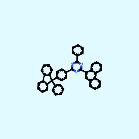 c1ccc(-c2nc(-c3ccc(C4(c5ccccc5)c5ccccc5-c5ccccc54)cc3)nc(-c3cc4ccccc4c4ccccc34)n2)cc1